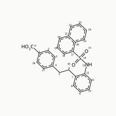 O=C(O)c1ccc(CCc2ccccc2NS(=O)(=O)c2cccc3ccccc23)cc1